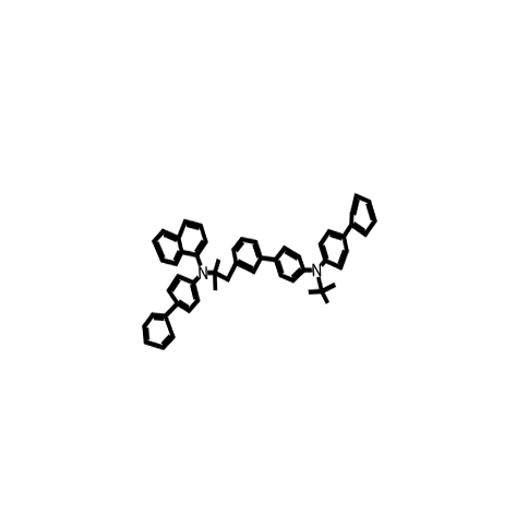 CC(C)(C)N(c1ccc(-c2ccccc2)cc1)c1ccc(-c2cccc(CC(C)(C)N(c3ccc(-c4ccccc4)cc3)c3cccc4ccccc34)c2)cc1